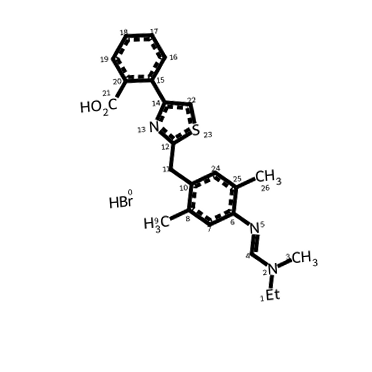 Br.CCN(C)/C=N/c1cc(C)c(Cc2nc(-c3ccccc3C(=O)O)cs2)cc1C